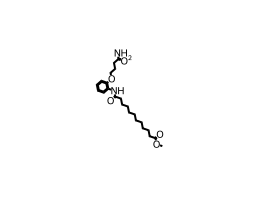 COC(=O)CCCCCCCCCCC(=O)Nc1ccccc1OCCCC(N)=O